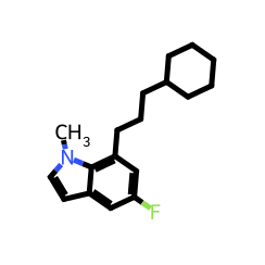 Cn1ccc2cc(F)cc(CCCC3CCCCC3)c21